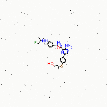 CC(CF)NCc1ccc(-c2nnc(-c3nc(-c4ccc(SC(C)CCO)cc4)cnc3N)o2)cc1